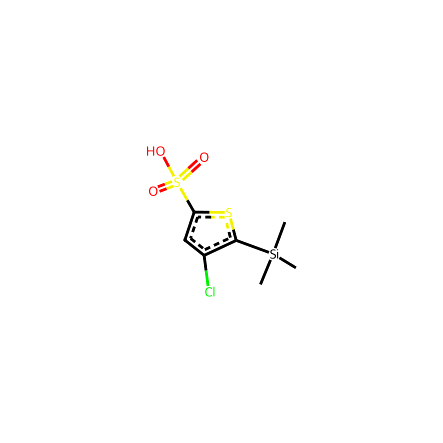 C[Si](C)(C)c1sc(S(=O)(=O)O)cc1Cl